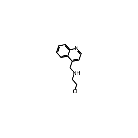 ClCCNCc1ccnc2ccccc12